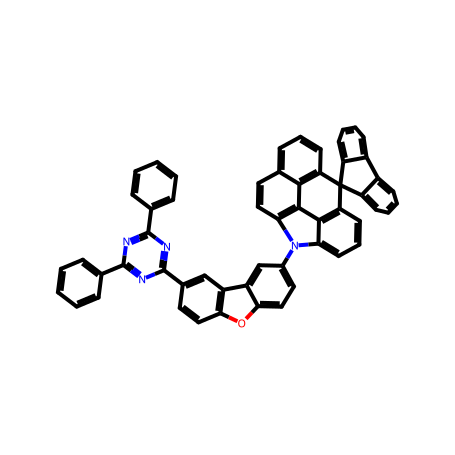 c1ccc(-c2nc(-c3ccccc3)nc(-c3ccc4oc5ccc(-n6c7cccc8c7c7c9c(cccc9ccc76)C86c7ccccc7-c7ccccc76)cc5c4c3)n2)cc1